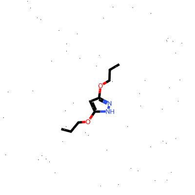 CCCOc1cc(OCCC)[nH]n1